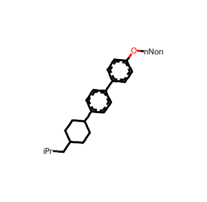 CCCCCCCCCOc1ccc(-c2ccc(C3CCC(CC(C)C)CC3)cc2)cc1